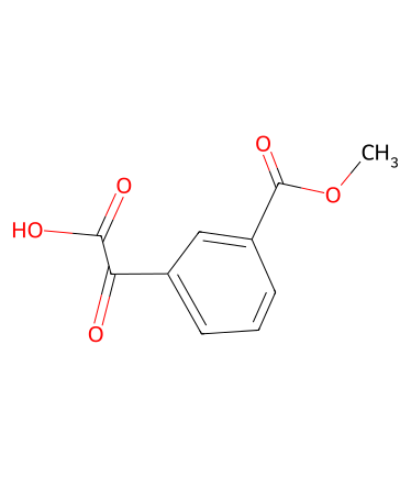 COC(=O)c1cccc(C(=O)C(=O)O)c1